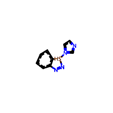 c1ccc2c(c1)N=N[SH]2n1ccnc1